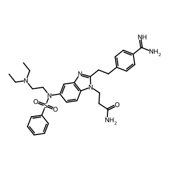 CCN(CC)CCN(c1ccc2c(c1)nc(CCc1ccc(C(=N)N)cc1)n2CCC(N)=O)S(=O)(=O)c1ccccc1